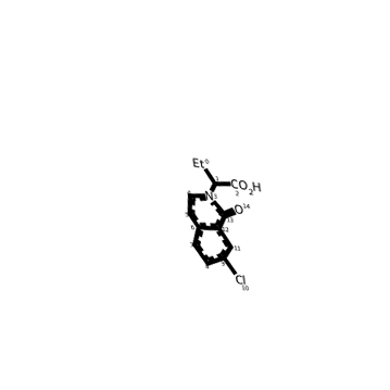 CCC(C(=O)O)n1ccc2ccc(Cl)cc2c1=O